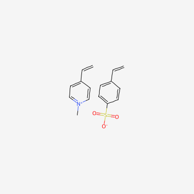 C=Cc1cc[n+](C)cc1.C=Cc1ccc(S(=O)(=O)[O-])cc1